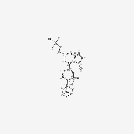 CC(C)(C)CSN1C2CC1CN(c1ccc(-c3cc(OCC(C)(C)O)cn4ncc(C#N)c34)cn1)C2